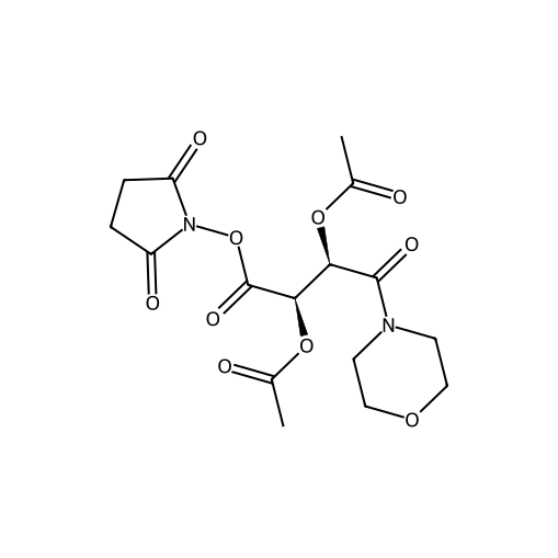 CC(=O)O[C@@H](C(=O)ON1C(=O)CCC1=O)[C@@H](OC(C)=O)C(=O)N1CCOCC1